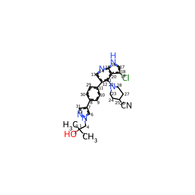 CC(C)(O)Cn1cc(-c2ccc(-c3cnc4[nH]cc(Cl)c4c3N3CCC(C#N)CC3)cc2)cn1